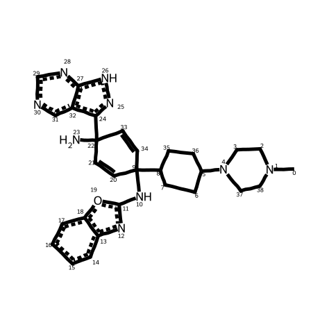 CN1CCN(C2CCC(C3(Nc4nc5ccccc5o4)C=CC(N)(c4n[nH]c5ncncc45)C=C3)CC2)CC1